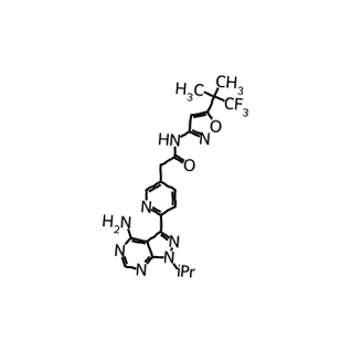 CC(C)n1nc(-c2ccc(CC(=O)Nc3cc(C(C)(C)C(F)(F)F)on3)cn2)c2c(N)ncnc21